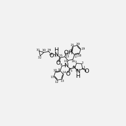 O=C1CC[C@H](C(=O)N(Cc2ccccc2)C(Cc2ccccc2)C(O)C(=O)NOCC2CC2)N1